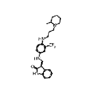 CC1CCCCN1CCCNc1ccc(N/C=C2\C(=O)Nc3ccccc32)cc1C(F)(F)F